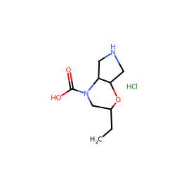 CCC1CN(C(=O)O)C2CNCC2O1.Cl